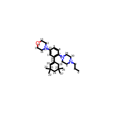 CCCN1CCN(c2ccc(N3CCOCC3)cc2C2=CC(C)(C)CC(C)(C)C2)CC1